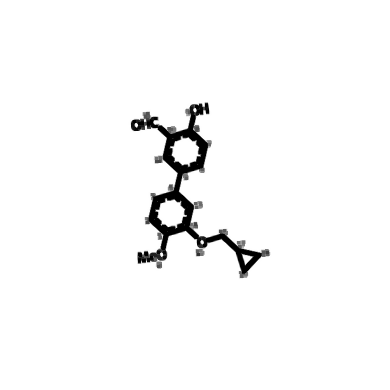 COc1ccc(-c2ccc(O)c(C=O)c2)cc1OCC1CC1